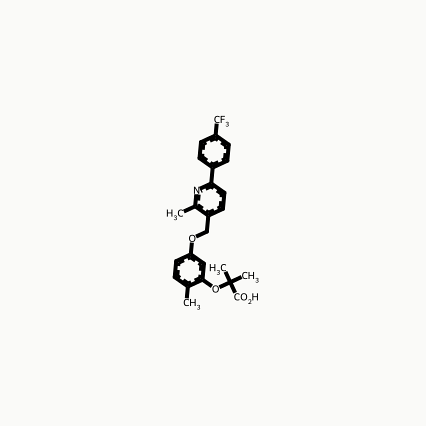 Cc1ccc(OCc2ccc(-c3ccc(C(F)(F)F)cc3)nc2C)cc1OC(C)(C)C(=O)O